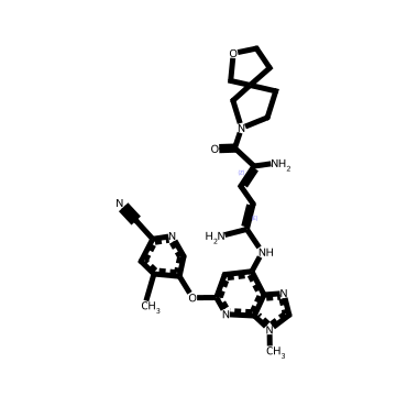 Cc1cc(C#N)ncc1Oc1cc(N/C(N)=C/C=C(\N)C(=O)N2CCC3(CCOC3)C2)c2ncn(C)c2n1